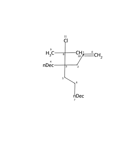 C=CCC(CCCCCCCCCC)(CCCCCCCCCCCC)C(C)(C)Cl